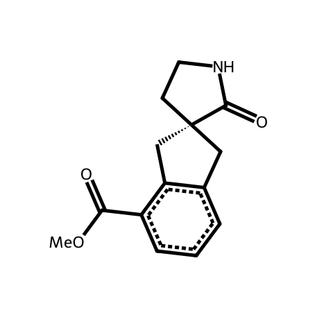 COC(=O)c1cccc2c1C[C@@]1(CCNC1=O)C2